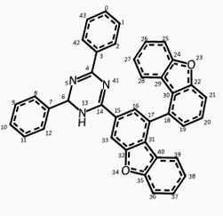 c1ccc(C2=NC(c3ccccc3)NC(c3cc(-c4cccc5oc6ccccc6c45)c4c(c3)oc3ccccc34)=N2)cc1